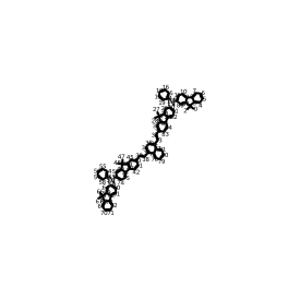 CC1(C)c2ccccc2-c2ccc(N(c3ccccc3)c3ccc4c(c3)C(C)(C)c3cc(/C=C/c5ccc(/C=C/c6ccc7c(c6)C(C)(C)c6cc(N(c8ccccc8)c8ccc9c(c8)C(C)(C)c8ccccc8-9)ccc6-7)c6ccccc56)ccc3-4)cc21